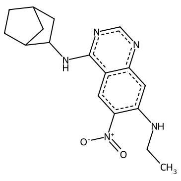 CCNc1cc2ncnc(NC3CC4CCC3C4)c2cc1[N+](=O)[O-]